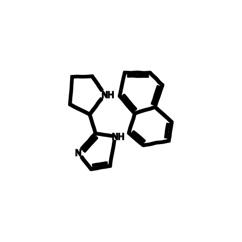 c1c[nH]c(C2CCCN2)n1.c1ccc2ccccc2c1